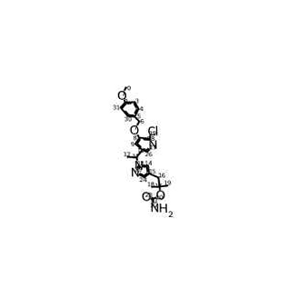 COc1ccc(COc2cc(C(C)n3cc(CC(C)(C)OC(N)=O)cn3)cnc2Cl)cc1